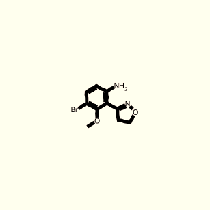 COc1c(Br)ccc(N)c1C1=NOCC1